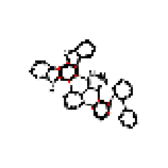 c1ccc(-c2ccccc2-c2ccccc2-c2nnnc(-c3cccc4oc5ccccc5c34)c2-c2c(-c3ccccc3)cccc2-c2cccc3c2[nH]c2ccccc23)cc1